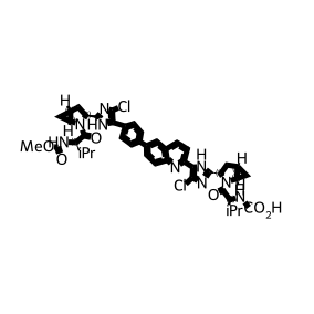 COC(=O)N[C@H](C(=O)N1[C@@H]2C[C@@H]2C[C@H]1c1nc(Cl)c(-c2ccc(-c3ccc4nc(-c5[nH]c([C@@H]6C[C@H]7C[C@H]7N6C(=O)[C@@H](NC(=O)O)C(C)C)nc5Cl)ccc4c3)cc2)[nH]1)C(C)C